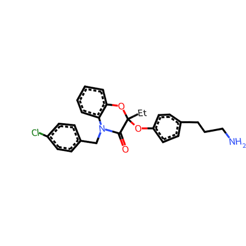 CCC1(Oc2ccc(CCCN)cc2)Oc2ccccc2N(Cc2ccc(Cl)cc2)C1=O